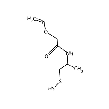 C=NOCC(=O)NC(C)CSS